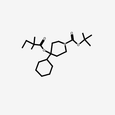 CCC(C)(C)C(=O)OC1(C2CCCCC2)CCN(C(=O)OC(C)(C)C)CC1